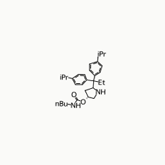 CCCCNC(=O)O[C@H]1CNC(C(CC)(c2ccc(C(C)C)cc2)c2ccc(C(C)C)cc2)C1